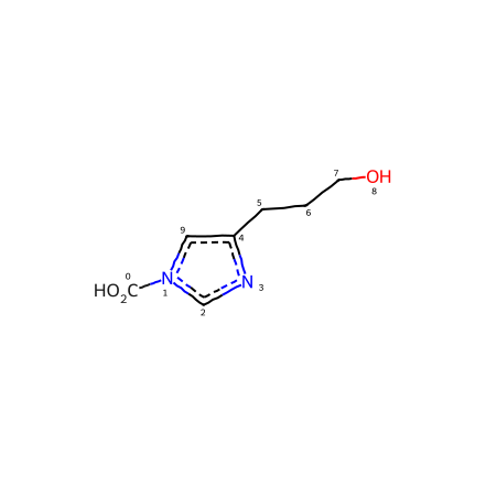 O=C(O)n1cnc(CCCO)c1